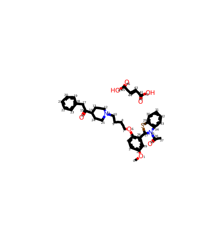 COc1ccc(OCCCCN2CCC(C(=O)Cc3ccccc3)CC2)c(C2Sc3ccccc3N2C(C)=O)c1.O=C(O)C=CC(=O)O